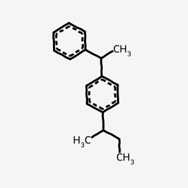 CCC(C)c1ccc(C(C)c2ccccc2)cc1